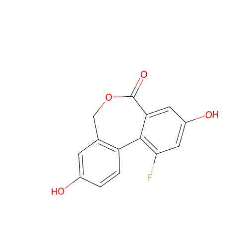 O=C1OCc2cc(O)ccc2-c2c(F)cc(O)cc21